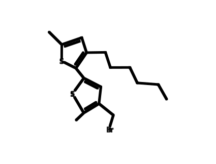 CCCCCCc1cc(C)sc1-c1cc(CBr)c(C)s1